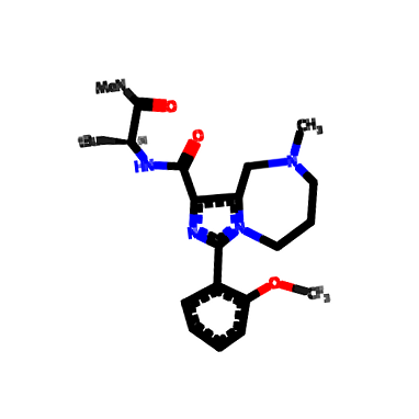 CNC(=O)[C@@H](NC(=O)c1nc(-c2ccccc2OC(F)(F)F)n2c1CN(C)CCC2)C(C)(C)C